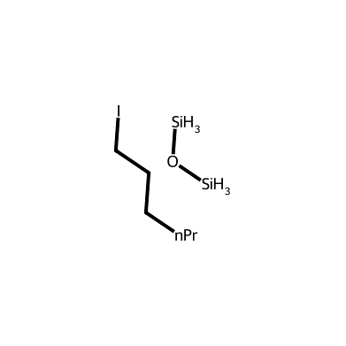 CCCCCCI.[SiH3]O[SiH3]